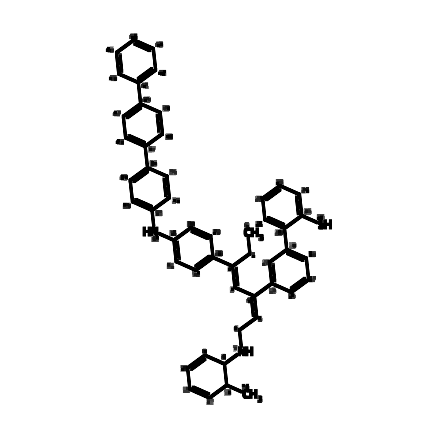 CC/C(=C\C(=C/CNC1C=CC=CC1C)c1cccc(-c2ccccc2S)c1)c1ccc(Nc2ccc(-c3ccc(-c4ccccc4)cc3)cc2)cc1